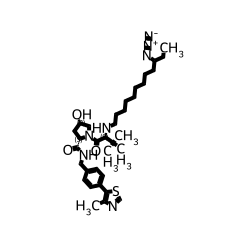 CCC(CCCCCCCCCN[C@H](C(=O)N1C[C@H](O)C[C@H]1C(=O)NCc1ccc(-c2scnc2C)cc1)C(C)(C)C)N=[N+]=[N-]